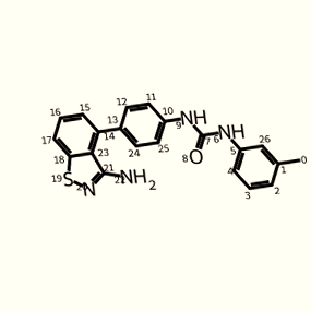 Cc1cccc(NC(=O)Nc2ccc(-c3cccc4snc(N)c34)cc2)c1